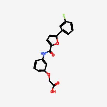 O=C(O)COc1cccc(NC(=O)c2ccc(-c3cccc(F)c3)o2)c1